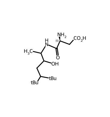 CC(NC(=O)[C@@H](N)CC(=O)O)C(O)CC(C(C)(C)C)C(C)(C)C